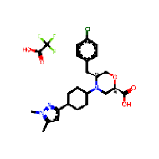 Cc1cc(C2CCC(N3C[C@H](C(=O)O)OC[C@@H]3Cc3ccc(Cl)cc3)CC2)nn1C.O=C(O)C(F)(F)F